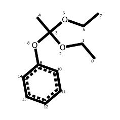 CCOC(C)(OCC)Oc1ccccc1